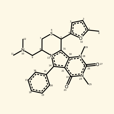 Cc1ccc(C2SCC(CN(C)C)n3c(-c4ccccc4)c4c(=O)n(C)c(=O)n(C)c4c32)o1